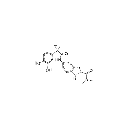 CN(C)C(=O)C1Cc2cc(NC(=O)C3(c4ccc(O)c(O)c4)CC3)ccc2N1